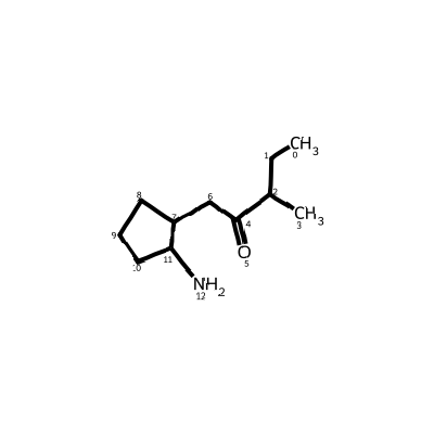 CCC(C)C(=O)CC1CCCC1N